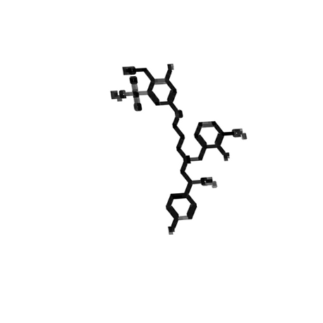 CC(CN(CCCOc1cc(F)c(CO)c(S(C)(=O)=O)c1)Cc1cccc(C(F)(F)F)c1F)c1ccc(F)cc1